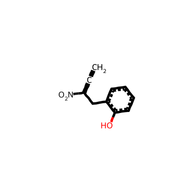 C=C=C(Cc1ccccc1O)[N+](=O)[O-]